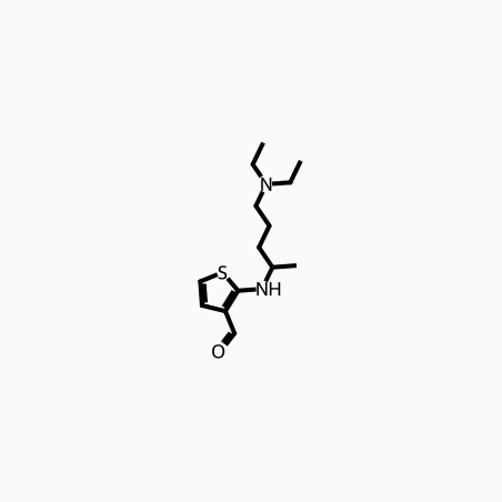 CCN(CC)CCCC(C)Nc1sccc1C=O